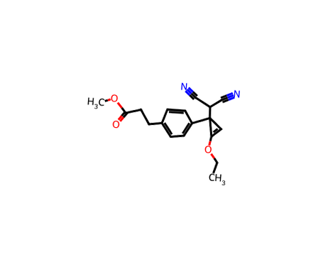 CCOC1=CC1(c1ccc(CCC(=O)OC)cc1)C(C#N)C#N